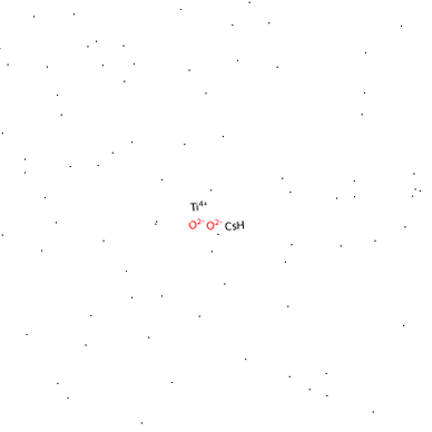 [CsH].[O-2].[O-2].[Ti+4]